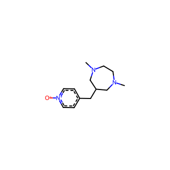 CN1CCN(C)CC(Cc2cc[n+]([O-])cc2)C1